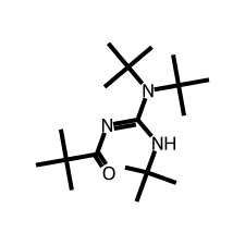 CC(C)(C)N/C(=N\C(=O)C(C)(C)C)N(C(C)(C)C)C(C)(C)C